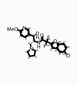 COc1ccc([C@@H](O)[C@@H](CN2CCCC2)NC(=O)C(F)(F)c2cc3cc(Cl)ccc3o2)cn1